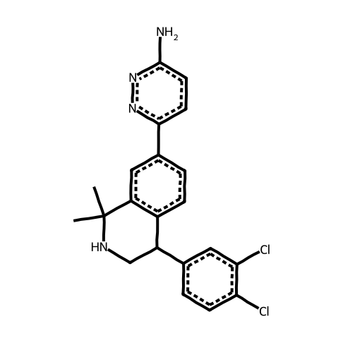 CC1(C)NCC(c2ccc(Cl)c(Cl)c2)c2ccc(-c3ccc(N)nn3)cc21